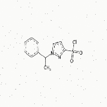 CC(c1ccccc1)n1ccc(S(=O)(=O)Cl)n1